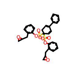 O=S(=O)(Oc1ccccc1CC1CO1)C1(S(=O)(=O)Oc2ccccc2CC2CO2)C=CC(c2ccccc2)=CC1